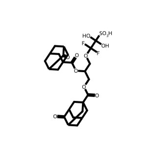 O=C1C2CC3CC1CC(C(=O)OCC(COC(F)(F)C(O)(O)S(=O)(=O)O)OC(=O)C14CC5CC(C1)C(=O)C(C5)C4)(C3)C2